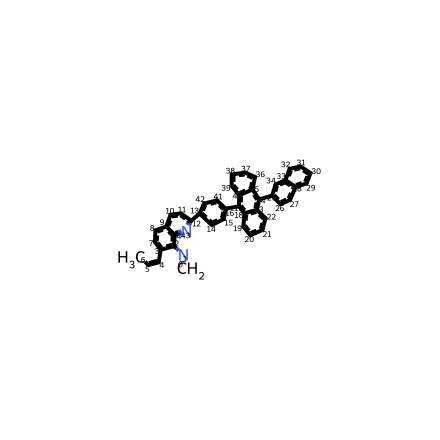 C=Nc1c(/C=C\C)ccc2ccc(-c3ccc(-c4c5ccccc5c(-c5ccc6ccccc6c5)c5ccccc45)cc3)nc12